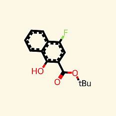 CC(C)(C)OC(=O)c1cc(F)c2ccccc2c1O